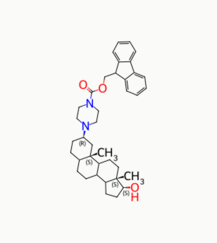 C[C@]12C[C@H](N3CCN(C(=O)OCC4c5ccccc5-c5ccccc54)CC3)CCC1CCC1C2CC[C@@]2(C)C1CC[C@@H]2O